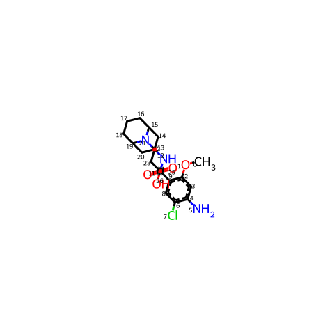 COc1cc(N)c(Cl)cc1C(=O)NC1CC2CCCC(C1)N2CCC(=O)O